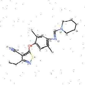 CCc1nsc(Oc2cc(C)c(N=CN3CCCCC3)cc2C)c1C#N